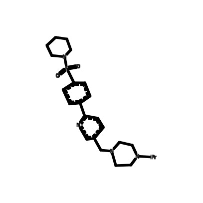 CC(C)N1CCN(Cc2ccc(-c3ccc(S(=O)(=O)N4CCCCC4)cc3)nc2)CC1